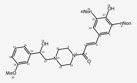 CCCCCCCCCc1cc(C=CC(=O)N2CCN(CC(O)c3cccc(OC)c3)CC2)cc(CCCCCCCCC)c1O